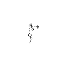 CCCCOc1ccc(CCCC2SC(=O)N(CCN=O)C2=O)cc1